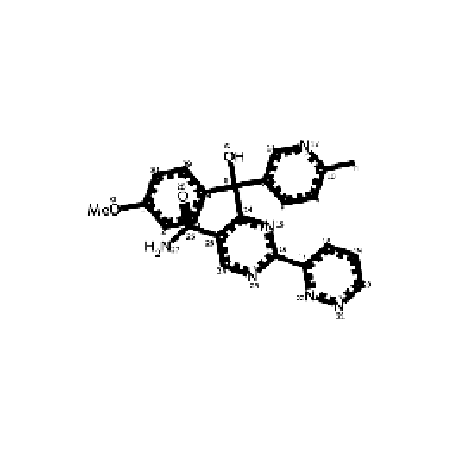 COc1ccc(C(O)(c2ccc(C)nc2)c2nc(-c3cccnn3)ncc2C(N)=O)cc1